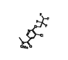 CON(C)C(=O)c1cnc(OCC(F)(F)C(F)F)c(Cl)c1